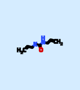 C=CC[N]C(=O)NCC=C